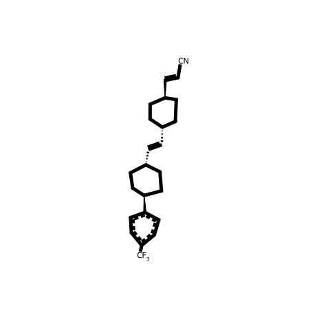 N#CC=C[C@H]1CC[C@H](C=C[C@H]2CC[C@H](c3ccc(C(F)(F)F)cc3)CC2)CC1